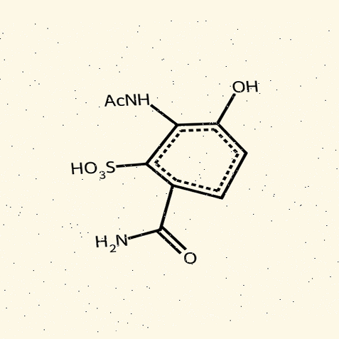 CC(=O)Nc1c(O)ccc(C(N)=O)c1S(=O)(=O)O